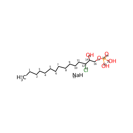 CCCCCCCCCCCCC(Cl)C(O)COP(=O)(O)O.[NaH]